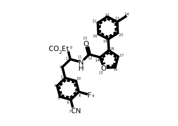 CCOC(=O)C(Cc1ccc(C#N)c(F)c1)NC(=O)c1occc1-c1cccc(C)c1